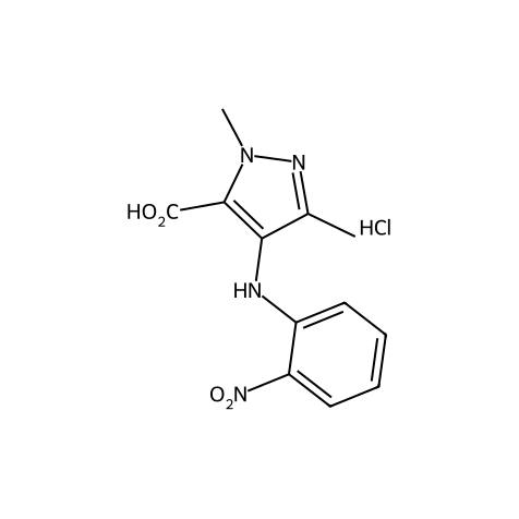 Cc1nn(C)c(C(=O)O)c1Nc1ccccc1[N+](=O)[O-].Cl